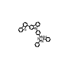 c1ccc(C2=NC(c3ccccc3)NC(c3ccc(-n4c5ccccc5c5cc(-c6cccc7c6sc6ccccc67)ccc54)cc3)=N2)cc1